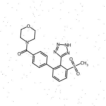 CS(=O)(=O)c1cccc(-c2ccc(C(=O)N3CCOCC3)cc2)c1-c1nn[nH]n1